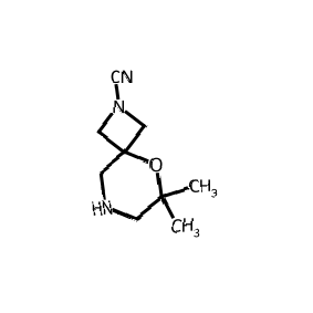 CC1(C)CNCC2(CN(C#N)C2)O1